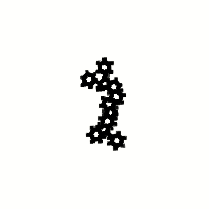 c1ccc(C2Nc3c(ccc4ccc5c(ccc6c7cc8c9ccccc9n(-c9ccccc9)c8cc7sc65)c34)N2c2ccccc2)cc1